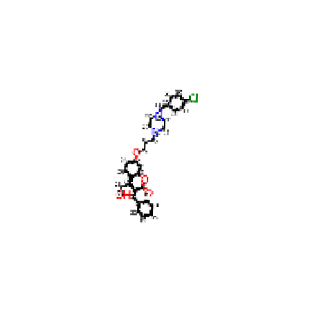 O=c1oc2cc(OCCCN3CCN(Cc4ccc(Cl)cc4)CC3)ccc2c(CO)c1Cc1ccccc1